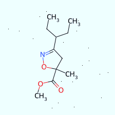 CCC(CC)C1=NOC(C)(C(=O)OC)C1